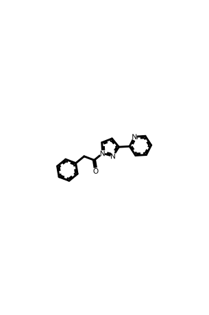 O=C(Cc1ccccc1)n1ccc(-c2ccccn2)n1